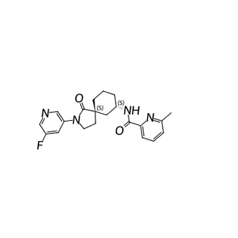 Cc1cccc(C(=O)N[C@H]2CCC[C@]3(CCN(c4cncc(F)c4)C3=O)C2)n1